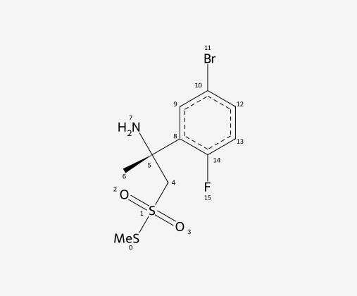 CSS(=O)(=O)C[C@](C)(N)c1cc(Br)ccc1F